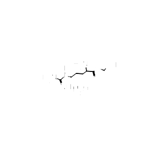 CCOC(=O)C(N)CCCNC(=N)N.O.O